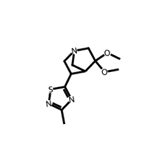 COC1(OC)CN2CC(c3nc(C)ns3)C1C2